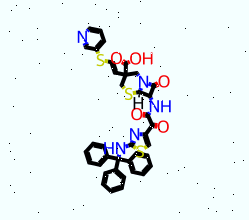 O=C(NC1C(=O)N2CC(C=CSc3cccnc3)(C(=O)O)CS[C@H]12)C(=O)c1csc(NC(c2ccccc2)(c2ccccc2)c2ccccc2)n1